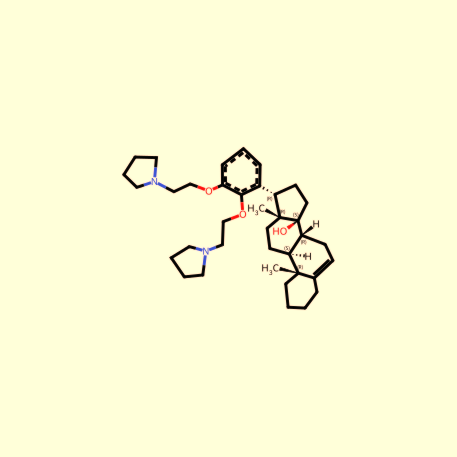 C[C@]12CCCCC1=CC[C@@H]1[C@@H]2CC[C@]2(C)[C@H](c3cccc(OCCN4CCCC4)c3OCCN3CCCC3)CC[C@]12O